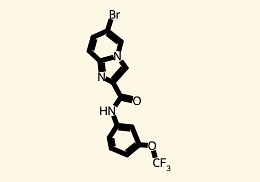 O=C(Nc1cccc(OC(F)(F)F)c1)c1cn2cc(Br)ccc2n1